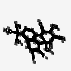 CN1C(=N)N[C@](C)(c2cccc(F)c2F)[C@@H](c2ccc(C(C)(C)C#N)cc2)C1=O